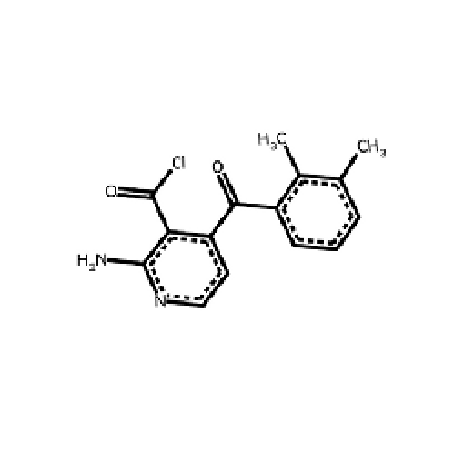 Cc1cccc(C(=O)c2ccnc(N)c2C(=O)Cl)c1C